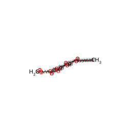 C=CC(=O)OCCCCCCOC(=O)C1CCC(OC(=O)c2ccc(C#CC(=O)Oc3ccc(C#CCOC(=O)CCCCCCCCCCCC)cc3)cc2)CC1